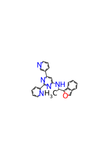 CC(Nc1cc(-c2cccnc2)nc(-c2ccccn2)n1)c1occ2ccccc12